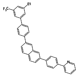 CCc1cc(-c2ccc(-c3ccc4ccc(-c5ccc(-c6ccccn6)cc5)cc4c3)cc2)cc(C(F)(F)F)c1